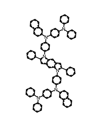 c1ccc(-c2cc3cc4c(cc(-c5ccccc5)n4-c4ccc(N(c5ccc(N(c6ccccc6)c6ccccc6)cc5)c5ccc6ccccc6c5)cc4)cc3n2-c2ccc(N(c3ccc(N(c4ccccc4)c4ccccc4)cc3)c3ccc4ccccc4c3)cc2)cc1